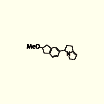 COC1Cc2ccc(C3CCC4=CCCN43)cc2C1